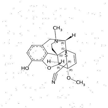 CO[C@@]12C=C[C@@]3(S[C@@H]1C#N)[C@H]1Cc4ccc(O)c5c4[C@@]3(CCN1C)[C@H]2O5